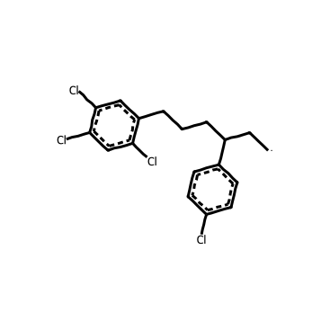 [CH2]CC(CCCc1cc(Cl)c(Cl)cc1Cl)c1ccc(Cl)cc1